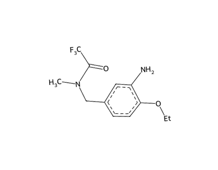 CCOc1ccc(CN(C)C(=O)C(F)(F)F)cc1N